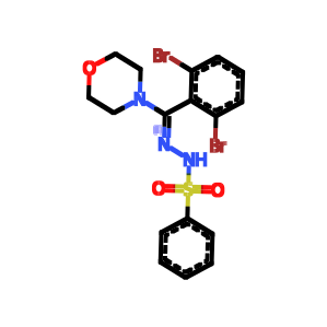 O=S(=O)(N/N=C(\c1c(Br)cccc1Br)N1CCOCC1)c1ccccc1